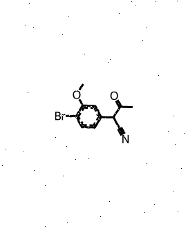 COc1cc(C(C#N)C(C)=O)ccc1Br